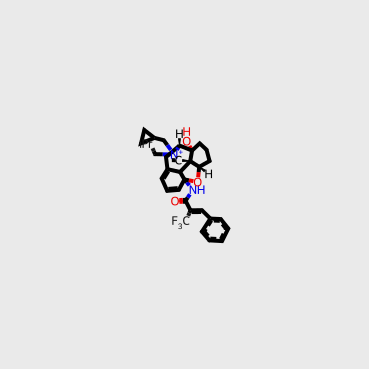 CC(C)C[N+]1(CC2CC2)CC[C@]23C4C5=CC=CC4(NC(=O)C(=Cc4ccccc4)C(F)(F)F)O[C@H]2CCCC3(O)[C@H]1C5